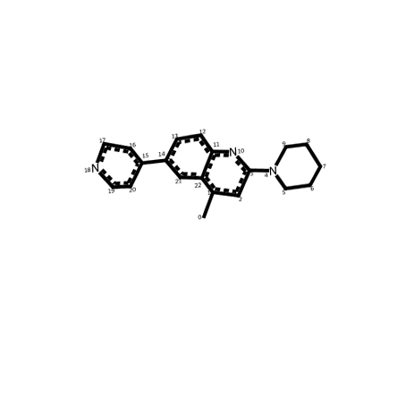 Cc1cc(N2CCCCC2)nc2ccc(-c3ccncc3)cc12